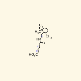 CC1=C(/C=C/NC(=O)/C=C/C=C/C(=O)O)C(C)(C)CCC1